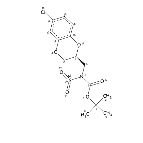 CC(C)(C)OC(=O)N(C[C@H]1COc2cc(Cl)ccc2O1)[SH](=O)=O